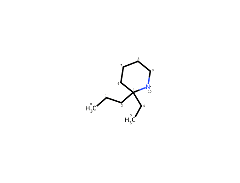 CCCC1(CC)CCCC[N]1